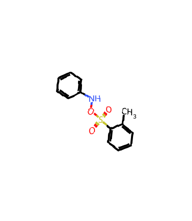 Cc1ccccc1S(=O)(=O)ONc1ccccc1